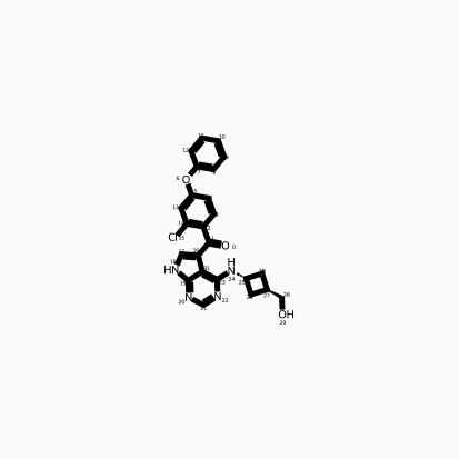 O=C(c1ccc(Oc2ccccc2)cc1Cl)c1c[nH]c2ncnc(N[C@H]3C[C@H](CO)C3)c12